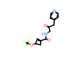 O=C(CNC(=O)C1=CC(OC(F)(F)F)C1)Cc1ccncc1